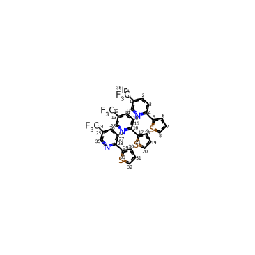 FC(F)(F)c1ccc(-c2cccs2)nc1.FC(F)(F)c1ccc(-c2cccs2)nc1.FC(F)(F)c1ccc(-c2cccs2)nc1.[Ir]